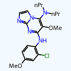 CCCN(CCC)c1c(OC)c(Nc2ccc(OC)cc2Cl)nc2nccn12